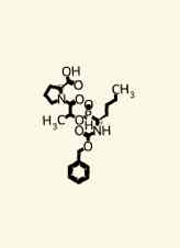 CCCC[C@@H](NC(=O)OCc1ccccc1)[PH](=O)OC(C)C(=O)N1CCC[C@H]1C(=O)O